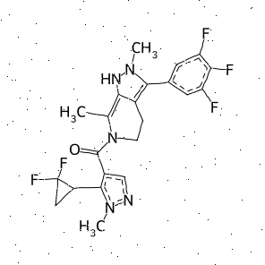 CC1=C2NN(C)C(c3cc(F)c(F)c(F)c3)=C2CCN1C(=O)c1cnn(C)c1C1CC1(F)F